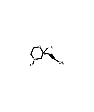 CC#C[C@]1(C)CN(C(C)=O)CCO1